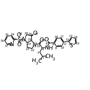 CC(C)CC(NC(=O)c1ccc(-c2cccs2)cc1)C(=O)N1CCC2C1C(=O)CN2S(=O)(=O)c1ccccn1